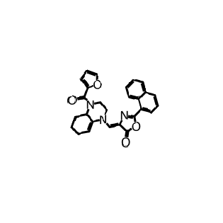 O=C1OC(c2cccc3ccccc23)=NC1=CN1CCN(C(=O)c2ccco2)C2CCCC=C21